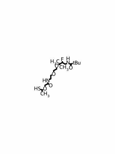 CC(S)OCC(=O)NCCOCCOC(C)(C)C(F)CNC(=O)C(C)(C)C